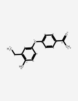 CCc1cc(Oc2ccc(C(C)=O)cc2)ccc1O